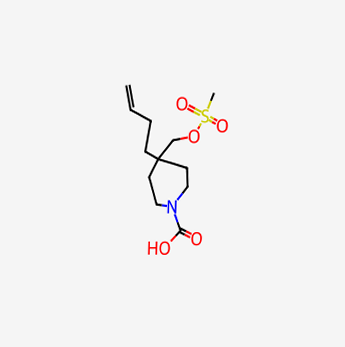 C=CCCC1(COS(C)(=O)=O)CCN(C(=O)O)CC1